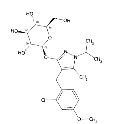 COc1ccc(Cc2c(O[C@@H]3O[C@H](CO)[C@@H](O)[C@H](O)[C@H]3O)nn(C(C)C)c2C)c(Cl)c1